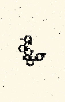 Cc1cccnc1C1CCCC(c2nc3cccc(N4CCN(C)CC4)n3c2F)N1C